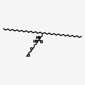 CCCCCCCCCCCCCCCCCC(CCCCCCCCCCCCCCCCC)CNC(=O)NCCCOCCOC